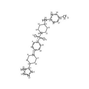 O=S(=O)(c1ccc(N2CCC(c3nnn[nH]3)CC2)cc1)N1CCC(Nc2ccc(C(F)(F)F)cn2)CC1